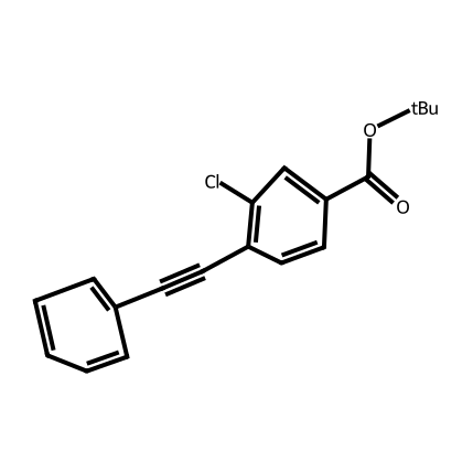 CC(C)(C)OC(=O)c1ccc(C#Cc2ccccc2)c(Cl)c1